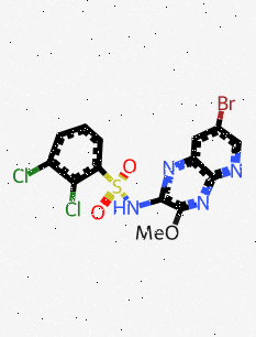 COc1nc2ncc(Br)cc2nc1NS(=O)(=O)c1cccc(Cl)c1Cl